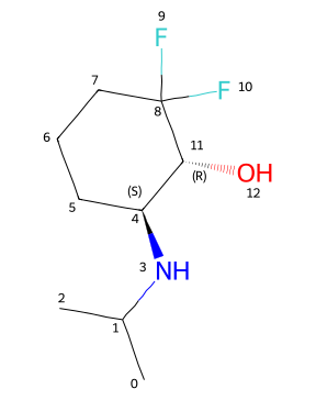 CC(C)N[C@H]1CCCC(F)(F)[C@@H]1O